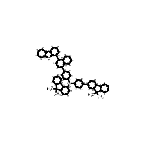 CC1(C)c2ccccc2-c2ccc(-c3ccc(N(c4ccc(-c5ccc(-c6cccc7c6oc6ccccc67)c6ccccc56)cc4)c4cccc5c4-c4ccccc4C5(C)C)cc3)cc21